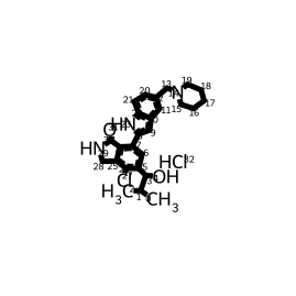 CC(C)C(O)c1cc(-c2cc3cc(CN4CCCCC4)ccc3[nH]2)c2c(c1Cl)CNC2=O.Cl